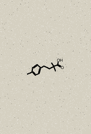 Cc1ccc(CCC(C)(C)C(=O)O)cc1